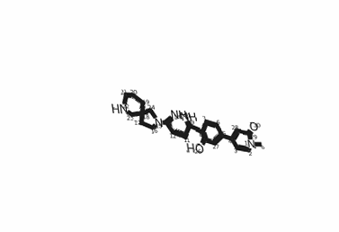 Cn1ccc(-c2ccc(C(=N)/C=C\C(=N)N3CCC4(CCCNC4)C3)c(O)c2)cc1=O